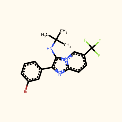 CC(C)(C)Nc1c(-c2cccc(Br)c2)nc2ccc(C(F)(F)F)cn12